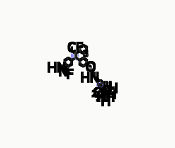 [2H]C([2H])([2H])N(C(=O)/C=C/CNCCOc1ccc(/C(=C(/CC(F)(F)F)c2ccccc2)c2ccc3[nH]nc(F)c3c2)cc1)C([2H])([2H])[2H]